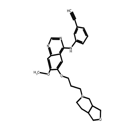 C#Cc1cccc(Nc2ncnc3cc(OC)c(OCCCN4CCC5COCC5C4)cc23)c1